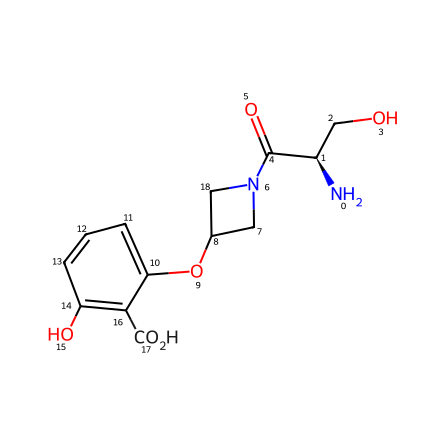 N[C@H](CO)C(=O)N1CC(Oc2cccc(O)c2C(=O)O)C1